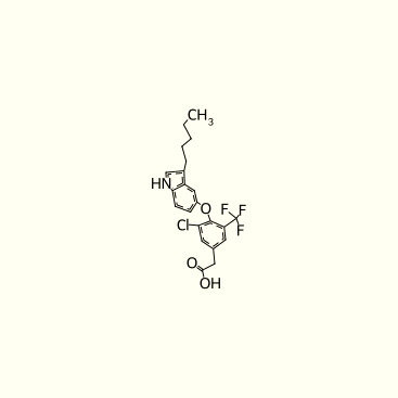 CCCCCc1c[nH]c2ccc(Oc3c(Cl)cc(CC(=O)O)cc3C(F)(F)F)cc12